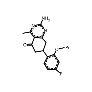 Cc1nc(N)nc2c1C(=O)CC(c1ccc(F)cc1OC(C)C)C2